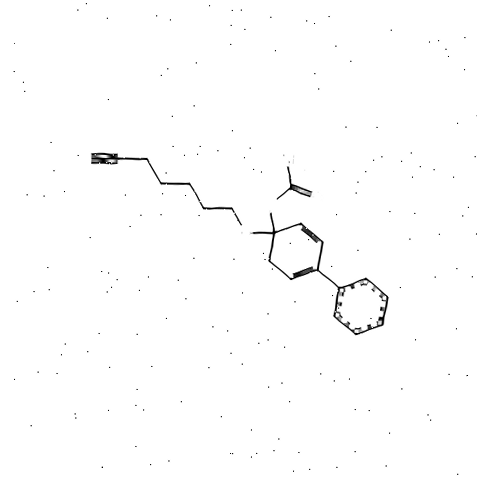 C#CCCCCCOC1(OC(N)=O)C=CC(c2ccccc2)=CC1